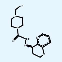 N#CCN1CCN(C(=S)N/N=C2/CCOc3cccnc32)CC1